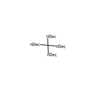 CCCCCCCCCCC(CCCCCCCCCC)(CCCCCCCCCC)CCCCCCCCCC